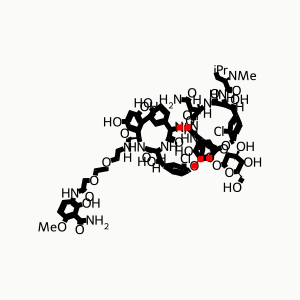 CN[C@H](CC(C)C)C(=O)N[C@H]1C(=O)N[C@@H](CC(N)=O)C(=O)N[C@H]2C(=O)N[C@H]3C(=O)N[C@H](C(=O)N[C@@H](C(=O)NCCOCCOCC(=O)Nc4ccc(OC)c(C(N)=O)c4O)c4cc(O)cc(O)c4-c4cc3ccc4O)[C@H](O)c3ccc(c(Cl)c3)Oc3cc2cc(c3OC2O[C@@H](CO)[C@@H](O)[C@H](O)[C@@H]2O[C@@H]2CC(=N)[C@H](O)[C@@H](C)O2)Oc2ccc(cc2Cl)[C@H]1O